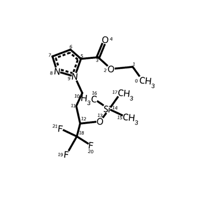 CCOC(=O)c1ccnn1CCC(O[Si](C)(C)C)C(F)(F)F